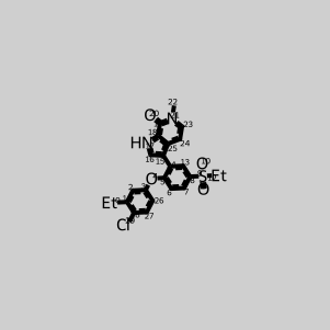 CCc1cc(Oc2ccc(S(=O)(=O)CC)cc2-c2c[nH]c3c(=O)n(C)ccc23)ccc1Cl